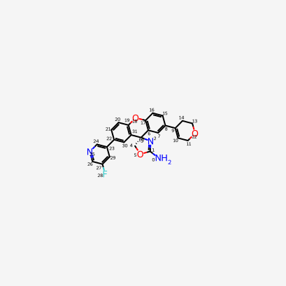 NC1=N[C@]2(CO1)c1cc(C3=CCOCC3)ccc1Oc1ccc(-c3cncc(F)c3)cc12